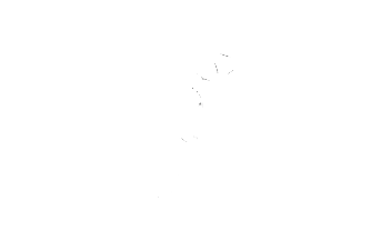 O=C(CO[C@H]1C[C@@H](OC(F)(F)F)C1)N[C@H]1CC[C@H](c2nnc(-c3ccc(Cl)c(F)c3)o2)OC1